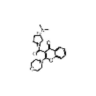 CN(C)[C@H]1CCN(C(=O)c2c(N3CCOCC3)oc3ccccc3c2=O)C1